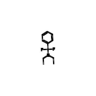 CCN(CC)C(F)(F)c1ccccc1